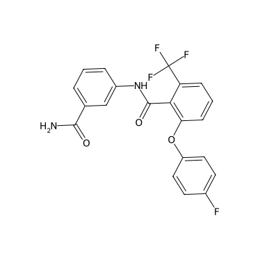 NC(=O)c1cccc(NC(=O)c2c(Oc3ccc(F)cc3)cccc2C(F)(F)F)c1